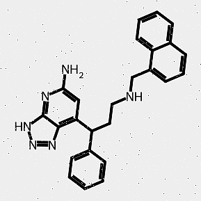 Nc1cc(C(CCNCc2cccc3ccccc23)c2ccccc2)c2nn[nH]c2n1